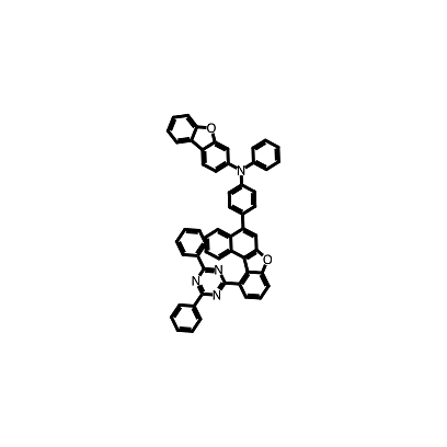 c1ccc(-c2nc(-c3ccccc3)nc(-c3cccc4oc5cc(-c6ccc(N(c7ccccc7)c7ccc8c(c7)oc7ccccc78)cc6)c6ccccc6c5c34)n2)cc1